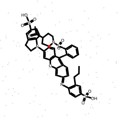 CCCc1cc(S(=O)(=O)O)ccc1/N=c1\ccc2c(-c3ccccc3S(=O)(=O)N3CCC(C(C)=O)CC3)c3ccc(N4CCc5cc(S(=O)(=O)O)ccc54)cc3oc-2c1